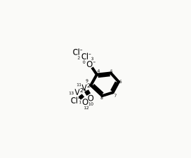 [Cl-].[Cl-].[Cl-].[O-]c1ccccc1.[O]=[V+2].[O]=[V+2]